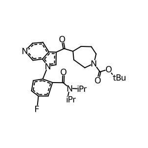 CC(C)N(C(=O)c1cc(F)ccc1-n1cc(C(=O)C2CCCN(C(=O)OC(C)(C)C)CC2)c2ccncc21)C(C)C